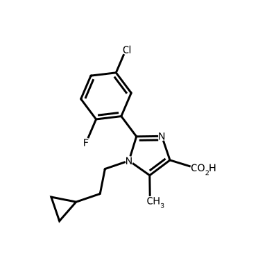 Cc1c(C(=O)O)nc(-c2cc(Cl)ccc2F)n1CCC1CC1